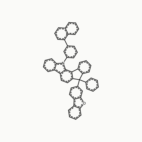 c1ccc(C2(c3ccc4c(c3)oc3ccccc34)c3ccccc3-c3c2ccc2c4ccccc4n(-c4cccc(-c5cccc6ccccc56)c4)c32)cc1